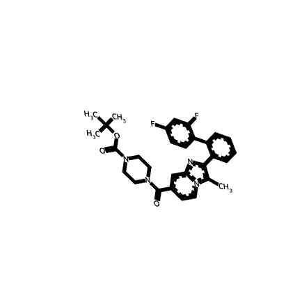 Cc1c(-c2ccccc2-c2ccc(F)cc2F)nc2cc(C(=O)N3CCN(C(=O)OC(C)(C)C)CC3)ccn12